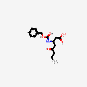 CCCC(=O)CC(CC(=O)O)NC(=O)OCc1ccccc1